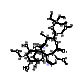 C/C=C\[C@@H]1[C@@H](COC)C(=O)O[C@H]([C@@H](COC)O[Si](CC)(CC)CC)[C@H](C)/C=C(\C)[C@]12O[C@@H]1C[C@H]2[C@H](O)[C@@H](COC)[C@H]1O